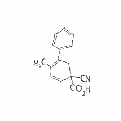 CC1=C(c2ccccc2)CC(C#N)(C(=O)O)C=C1